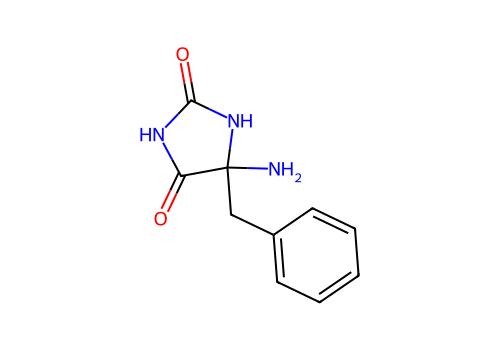 NC1(Cc2ccccc2)NC(=O)NC1=O